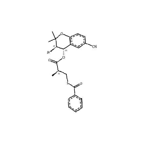 C[C@H](CSC(=O)c1ccccc1)C(=O)O[C@H]1c2cc(C#N)ccc2OC(C)(C)[C@@H]1Br